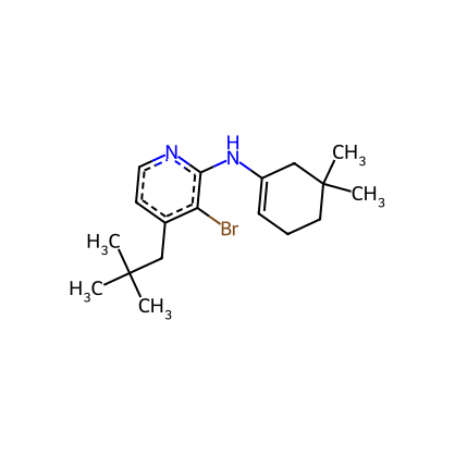 CC(C)(C)Cc1ccnc(NC2=CCCC(C)(C)C2)c1Br